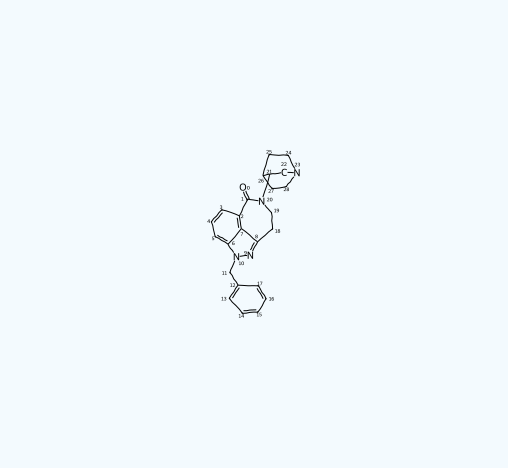 O=C1c2cccc3c2c(nn3Cc2ccccc2)CCN1C1CN2CCC1CC2